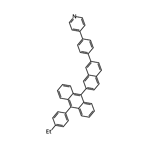 CCc1ccc(-c2c3ccccc3c(-c3ccc4ccc(-c5ccc(-c6ccncc6)cc5)cc4c3)c3ccccc23)cc1